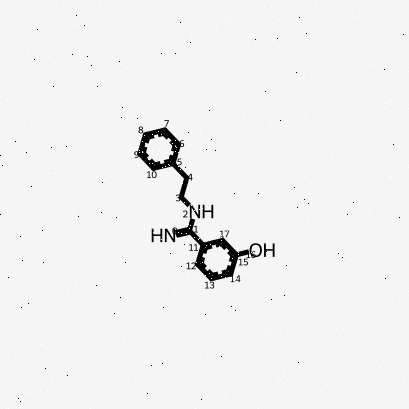 N=C(NCCc1ccccc1)c1cccc(O)c1